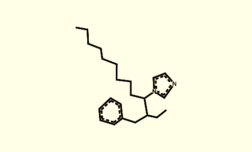 CCCCCCCCCC(C(CC)Cc1ccccc1)n1ccnc1